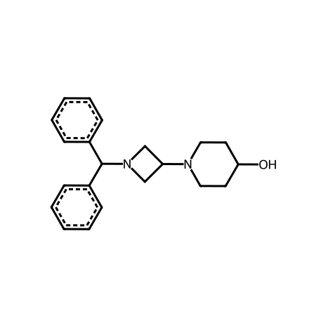 OC1CCN(C2CN(C(c3ccccc3)c3ccccc3)C2)CC1